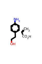 C=CC(=O)O.Nc1ccc(CCO)cc1